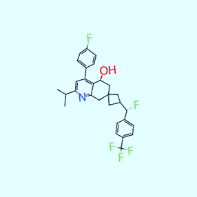 CC(C)c1cc(-c2ccc(F)cc2)c2c(n1)CC1(CC([C@H](F)c3ccc(C(F)(F)F)cc3)C1)C[C@@H]2O